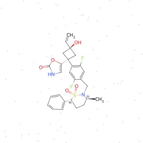 C=C[C@]1(O)C[C@@](c2c[nH]c(=O)o2)(c2cc(F)c(CN3[C@@H](C)CC[C@H](c4ccccc4)S3(=O)=O)cc2F)C1